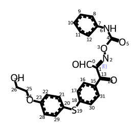 O=C/C(=N\OC(=O)Nc1ccccc1)C(=O)c1ccc(Sc2ccc(OCCO)cc2)cc1